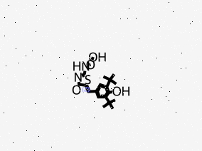 CC(C)(C)c1cc(/C=C2\SC(NOO)=NC2=O)cc(C(C)(C)C)c1O